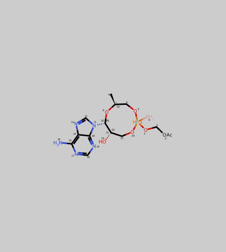 B[PH]1(OCOC(C)=O)OC[C@H](C)O[C@@H](n2cnc3c(N)ncnc32)[C@@H](O)CO1